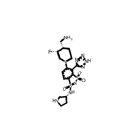 NC[C@@H]1CCN(c2ccc3c(c2-c2nn[nH]n2)S(=O)(=O)N=S3(=O)N[C@@H]2CCNC2)C[C@@H]1F